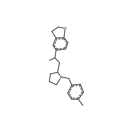 Cc1ccc(CN2CCCC2CC(C)c2ccc3c(c2)CCO3)cc1